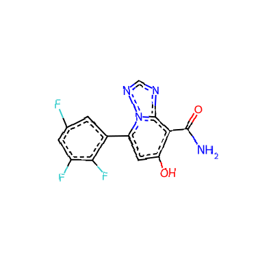 NC(=O)c1c(O)cc(-c2cc(F)cc(F)c2F)n2ncnc12